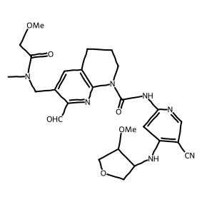 COCC(=O)N(C)Cc1cc2c(nc1C=O)N(C(=O)Nc1cc(NC3COCC3OC)c(C#N)cn1)CCC2